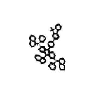 CC1(C)c2ccccc2-c2ccc(-c3ccc(-c4c5cc(N(C6=CCCC=C6)c6cccc7ccccc67)ccc5c(-c5cccc6ccccc56)c5cc(N(c6ccccc6)c6cccc7ccccc67)ccc45)cc3)cc21